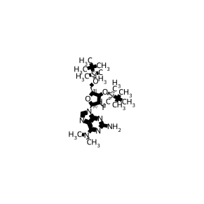 CN(C)c1nc(N)nc2c1ncn2[C@@H]1O[C@H](CO[Si](C)(C)C(C)(C)C)C(O[Si](C)(C)C(C)(C)C)[C@@H]1F